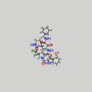 COc1cccc2[nH]c(C(=O)N3C[C@H](C(F)(F)F)C[C@H]3C(=O)NC(C[C@@H]3CCCNC3=O)C(=O)C(=O)NCc3ccccc3)cc12